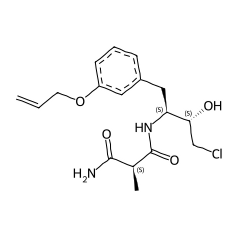 C=CCOc1cccc(C[C@H](NC(=O)[C@@H](C)C(N)=O)[C@H](O)CCl)c1